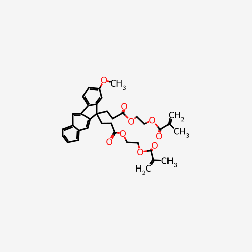 C=C(C)C(=O)OCCOC(=O)CCC1(CCC(=O)OCCOC(=O)C(=C)C)c2cc(OC)ccc2-c2cc3ccccc3cc21